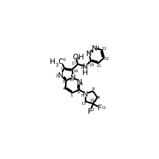 Cc1nc2ccc(N3CCC(F)(F)C3)nn2c1C(O)Nc1cccnn1